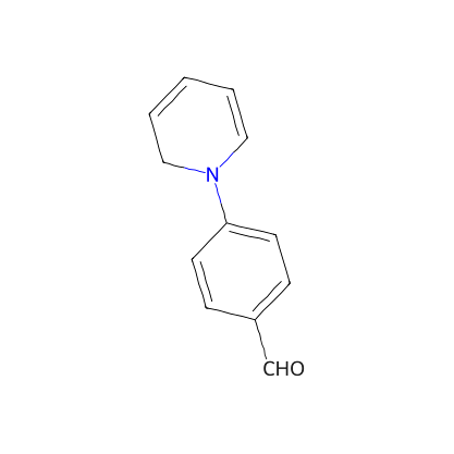 O=Cc1ccc(N2C=CC=CC2)cc1